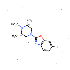 C[C@@H]1CN(c2nc3ccc(F)cc3o2)C[C@H](C)N1C(=O)O